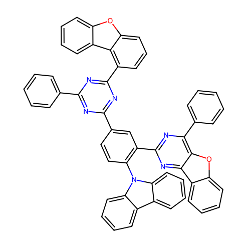 c1ccc(-c2nc(-c3ccc(-n4c5ccccc5c5ccccc54)c(-c4nc(-c5ccccc5)c5oc6ccccc6c5n4)c3)nc(-c3cccc4oc5ccccc5c34)n2)cc1